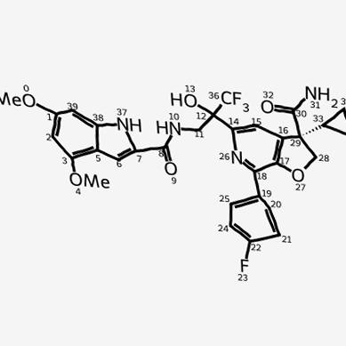 COc1cc(OC)c2cc(C(=O)NCC(O)(c3cc4c(c(-c5ccc(F)cc5)n3)OC[C@@]4(C(N)=O)C3CC3)C(F)(F)F)[nH]c2c1